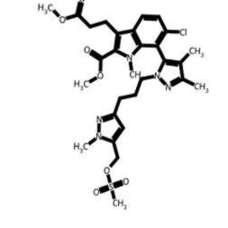 COC(=O)CCc1c(C(=O)OC)n(C)c2c(-c3c(C)c(C)nn3CCCc3cc(COS(C)(=O)=O)n(C)n3)c(Cl)ccc12